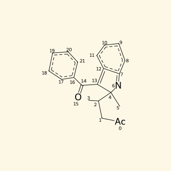 CC(=O)CC(C)C1(C)N=c2ccccc2=C1C(=O)c1ccccc1